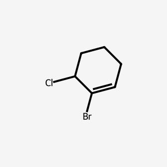 ClC1CCCC=C1Br